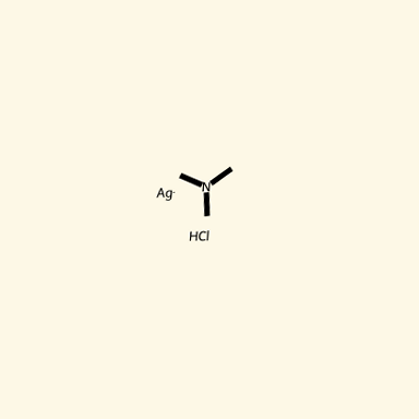 CN(C)C.Cl.[Ag]